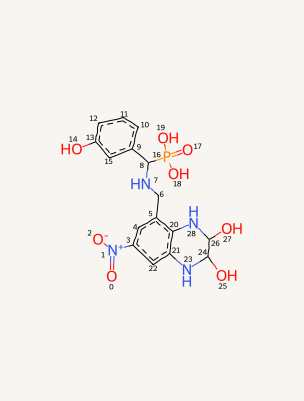 O=[N+]([O-])c1cc(CNC(c2cccc(O)c2)P(=O)(O)O)c2c(c1)NC(O)C(O)N2